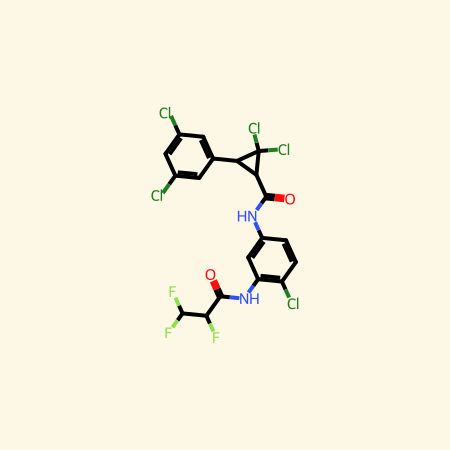 O=C(Nc1cc(NC(=O)C2C(c3cc(Cl)cc(Cl)c3)C2(Cl)Cl)ccc1Cl)C(F)C(F)F